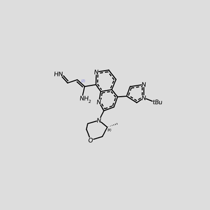 C[C@@H]1COCCN1c1cc(-c2cnn(C(C)(C)C)c2)c2ccnc(/C(N)=C/C=N)c2n1